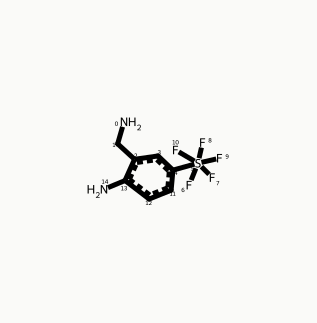 NCc1cc(S(F)(F)(F)(F)F)ccc1N